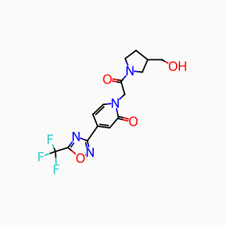 O=C(Cn1ccc(-c2noc(C(F)(F)F)n2)cc1=O)N1CCC(CO)C1